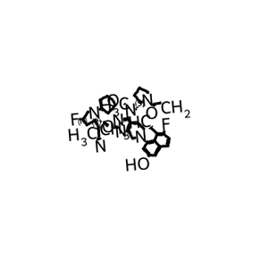 C#Cc1c(F)ccc2cc(O)cc(N3CCc4c(nc(OC[C@]5(C(C)(C)C#N)C[C@@H](F)CN5C5CCOCC5)nc4N(C)C[C@@H]4CCCN4C(=O)C=C)C3)c12